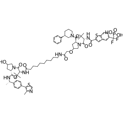 Cc1ncsc1-c1ccc([C@H](C)NC(=O)[C@@H]2C[C@@H](O)CN2C(=O)[C@@H](NC(=O)CCCCCCCCCNC(=O)CO[C@H]2C[C@@H](C(=O)N3CCC[C@H](c4ccccc4)C3)N(C(=O)[C@@H](NC(=O)c3cc4cc(C(F)(F)P(=O)(O)O)ccc4s3)C(C)(C)C)C2)C(C)(C)C)cc1